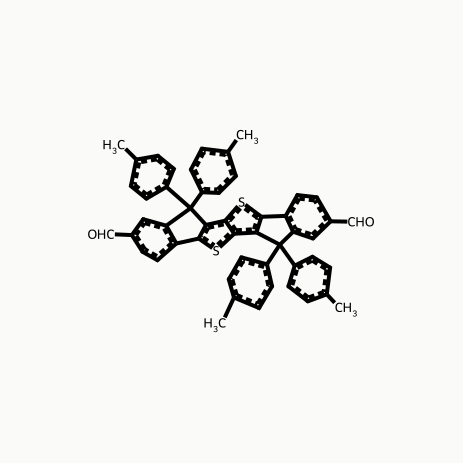 Cc1ccc(C2(c3ccc(C)cc3)c3cc(C=O)ccc3-c3sc4c5c(sc4c32)-c2ccc(C=O)cc2C5(c2ccc(C)cc2)c2ccc(C)cc2)cc1